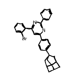 Brc1ccccc1-c1cc(-c2ccc(C34CC5CC6CC(C3)C65C4)cc2)nc(-c2ccccc2)n1